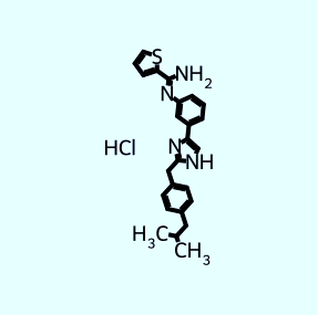 CC(C)Cc1ccc(Cc2nc(-c3cccc(/N=C(\N)c4cccs4)c3)c[nH]2)cc1.Cl